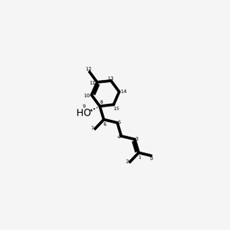 CC(C)=CCCC(C)[C@@]1(O)C=C(C)CCC1